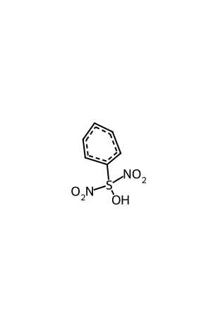 O=[N+]([O-])S(O)(c1ccccc1)[N+](=O)[O-]